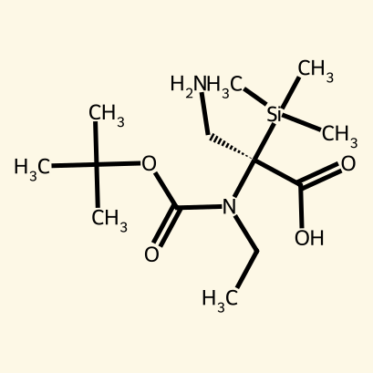 CCN(C(=O)OC(C)(C)C)[C@](CN)(C(=O)O)[Si](C)(C)C